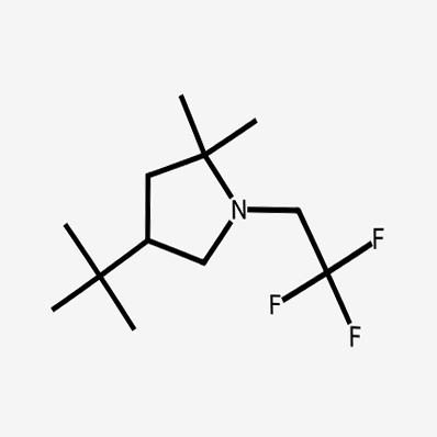 CC(C)(C)C1CN(CC(F)(F)F)C(C)(C)C1